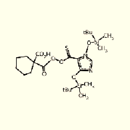 CC(C)(C)[Si](C)(C)Oc1ncn(O[Si](C)(C)C(C)(C)C)c1C(=S)OOC(=O)C1(C(=O)O)CCCCC1